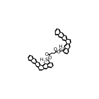 O=C(CCC(=O)O[SiH2]c1cccc2cc3ccc4cc5cc6ccccc6cc5cc4c3cc12)O[SiH2]c1cccc2cc3ccc4cc5cc6ccccc6cc5cc4c3cc12